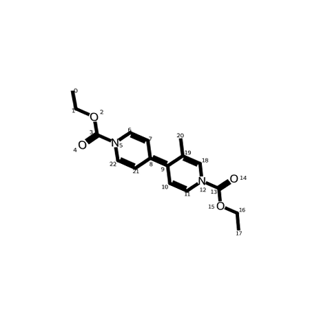 CCOC(=O)N1C=CC(=C2C=CN(C(=O)OCC)C=C2C)C=C1